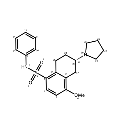 COc1ccc(S(=O)(=O)Nc2ccccc2)c2c1C[C@@H](N1CCCC1)CC2